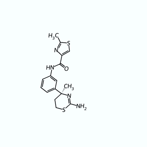 Cc1nc(C(=O)Nc2cccc([C@]3(C)CCSC(N)=N3)c2)cs1